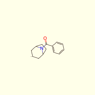 O=C(c1ccccc1)N1C2C[CH]CC1CC2